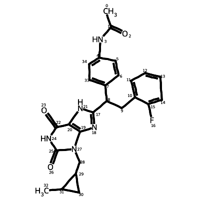 CC(=O)Nc1ccc(C(Cc2ccccc2F)c2nc3c([nH]2)c(=O)[nH]c(=O)n3CC2CC2C)cc1